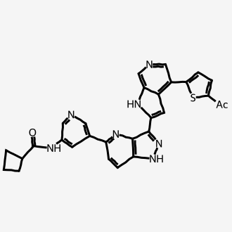 CC(=O)c1ccc(-c2cncc3[nH]c(-c4n[nH]c5ccc(-c6cncc(NC(=O)C7CCC7)c6)nc45)cc23)s1